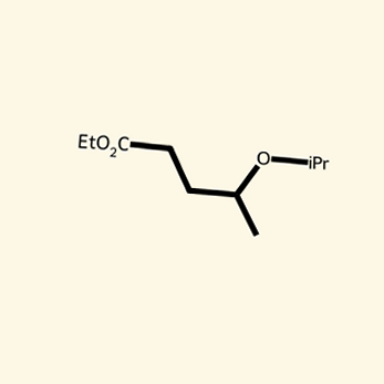 CCOC(=O)CCC(C)OC(C)C